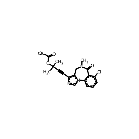 CN1Cc2c(C#CC(C)(C)OC(=O)C(C)(C)C)ncn2-c2cccc(Cl)c2C1=O